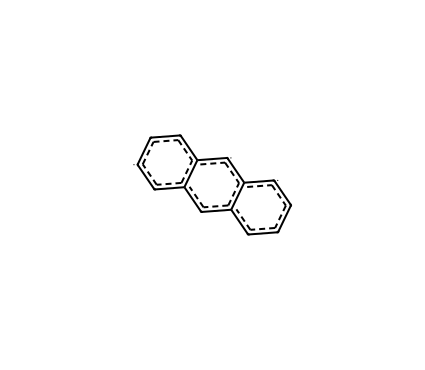 [c]1ccc2[c]c3[c]cccc3cc2c1